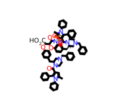 Cc1cc(C(=O)N2CCN(Cc3ccccc3)CC2Cc2ccc(OC(C(=O)O)C(Oc3ccc(C[C@@H]4CN(Cc5ccccc5)CCN4C(=O)c4cc(C)n(-c5ccccc5)c4-c4ccccc4)cc3)C(=O)NS(C)(=O)=O)cc2)c(-c2ccccc2)n1-c1ccccc1